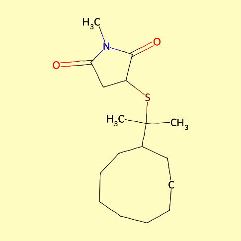 CN1C(=O)CC(SC(C)(C)C2CCCCCCCC2)C1=O